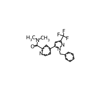 CN(C)C(=O)c1cc(-c2cc(C(F)(F)F)nn2Cc2ccccc2)ccn1